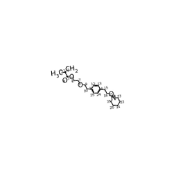 C=C(C)C(=O)OCCOCCc1ccc(CCON2CCCCC2)cc1